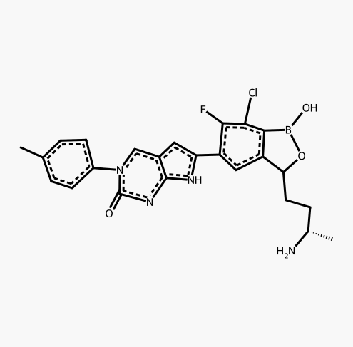 Cc1ccc(-n2cc3cc(-c4cc5c(c(Cl)c4F)B(O)OC5CC[C@H](C)N)[nH]c3nc2=O)cc1